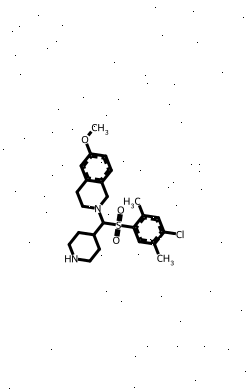 COc1ccc2c(c1)CCN(C(C1CCNCC1)S(=O)(=O)c1cc(C)c(Cl)cc1C)C2